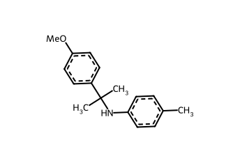 COc1ccc(C(C)(C)Nc2ccc(C)cc2)cc1